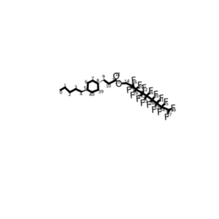 CCCCC[C@H]1CC[C@H](CCC(=O)OCC(F)(F)C(F)(F)C(F)(F)C(F)(F)C(F)(F)C(F)(F)C(F)(F)C(F)F)CC1